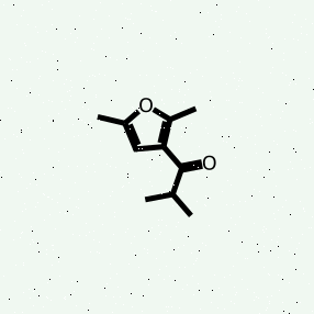 Cc1cc(C(=O)C(C)C)c(C)o1